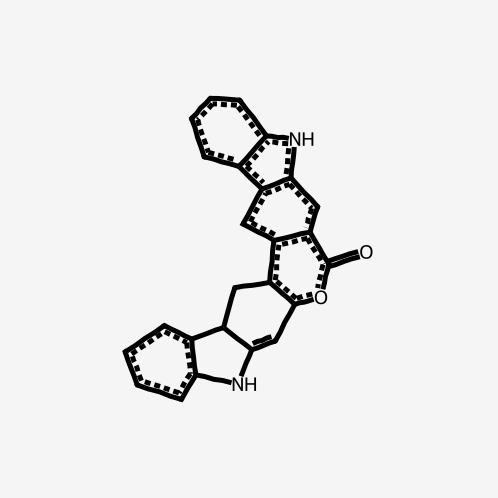 O=c1oc2c(c3cc4c(cc13)[nH]c1ccccc14)CC1C(=C2)Nc2ccccc21